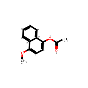 COc1ccc(OC(C)=O)c2ccccc12